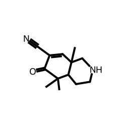 CC12C=C(C#N)C(=O)C(C)(C)C1CCNC2